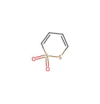 O=S1(=O)C=CC=CS1